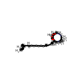 CO[C@H]1C[C@@H]2CC[C@@H](C)[C@@](O)(O2)C(=O)C(=O)N2CCCC[C@H]2C(=O)O[C@H]([C@H](N)C[C@@H]2CC[C@@H](OCCCCc3cn(CCOCCOCCOCCOCCOCCOCCC(=O)NCCCCn4nc(-c5ccc6oc(N)nc6c5)c5c(N)ncnc54)nn3)[C@H](O)C2)CC(=O)[C@H](C)/C=C(\C)[C@@H](O)[C@@H](O)C(=O)[C@H](C)C[C@H](C)/C=C/C=C/C=C/1C